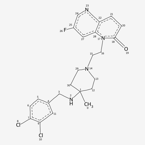 CC1(NCc2ccc(Cl)c(Cl)c2)CCN(CCn2c(=O)ccc3ncc(F)cc32)CC1